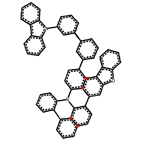 c1ccc(-c2ccccc2N(c2ccc(-c3cccc(-c4cccc(-n5c6ccccc6c6ccccc65)c4)c3)cc2)c2ccccc2-c2ccc3c(c2)oc2ccccc23)cc1